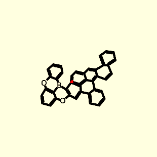 c1ccc2c(c1)Oc1cccc3c1B2c1ccc(-c2ccccc2-c2c4ccccc4cc4c2ccc2ccccc24)cc1O3